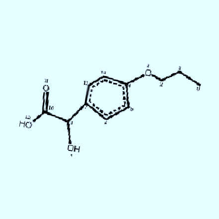 CCCOc1ccc(C(O)C(=O)O)cc1